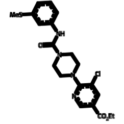 CCOC(=O)c1cnc(N2CCN(C(=O)Nc3cccc(SC)c3)CC2)c(Cl)c1